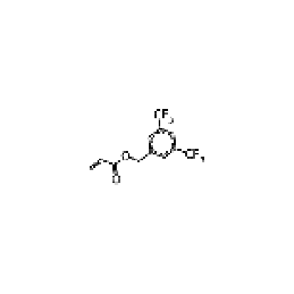 C=CC(=O)OCc1cc(C(F)(F)F)cc(C(F)(F)F)c1